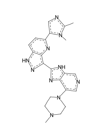 Cc1ncc(-c2ccc3[nH]nc(-c4nc5c(N6CCN(C)CC6)cncc5[nH]4)c3n2)n1C